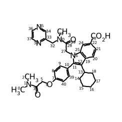 CN(C)C(=O)COc1ccc(-c2c(C3CCCCC3)c3ccc(C(=O)O)cc3n2CC(=O)N(C)Cc2cnccn2)cc1